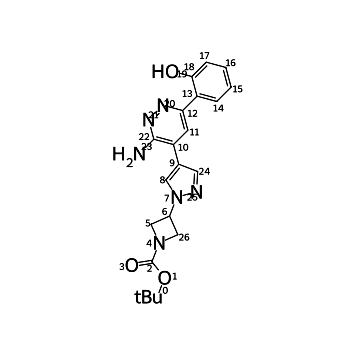 CC(C)(C)OC(=O)N1CC(n2cc(-c3cc(-c4ccccc4O)nnc3N)cn2)C1